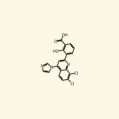 O=C(O)c1cccc(-c2cc(-n3ccnc3)c3ccc(Cl)c(Cl)c3n2)c1O